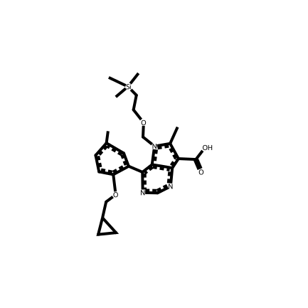 Cc1ccc(OCC2CC2)c(-c2ncnc3c(C(=O)O)c(C)n(COCC[Si](C)(C)C)c23)c1